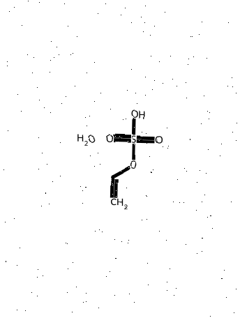 C=COS(=O)(=O)O.O